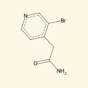 NC(=O)Cc1ccncc1Br